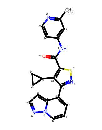 Cc1cc(NC(=O)c2snc(-c3cccn4nccc34)c2C2CC2)ccn1